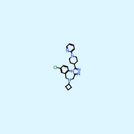 Clc1ccc2c(c1)CN(C1CCC1)Cc1nnc(C3CCN(c4ccccn4)CC3)n1-2